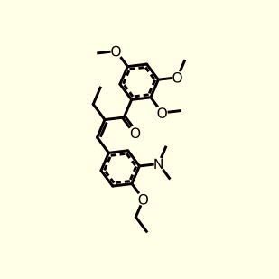 CCOc1ccc(C=C(CC)C(=O)c2cc(OC)cc(OC)c2OC)cc1N(C)C